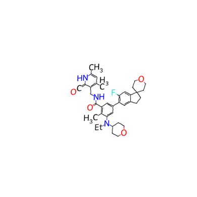 CCN(c1cc(-c2cc3c(cc2F)C2(CCOCC2)CC3)cc(C(=O)NCC2=C(C)C=C(C)NC2=C=O)c1C)C1CCOCC1